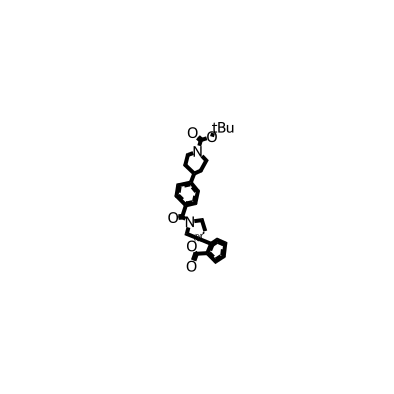 CC(C)(C)OC(=O)N1CCC(c2ccc(C(=O)N3CC[C@@]4(C3)OC(=O)c3ccccc34)cc2)CC1